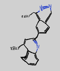 CC(C)(C)c1nncc2ccc(-c3cc(C(C)(C)C)c4ccccc4n3)cc12